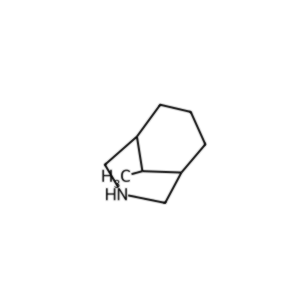 CC1C2CCCC1CNC2